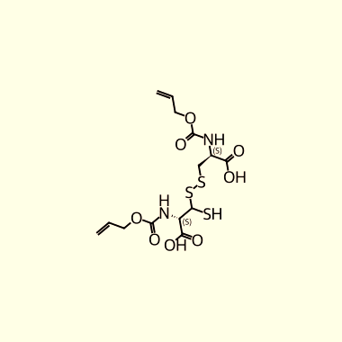 C=CCOC(=O)N[C@H](CSSC(S)[C@@H](NC(=O)OCC=C)C(=O)O)C(=O)O